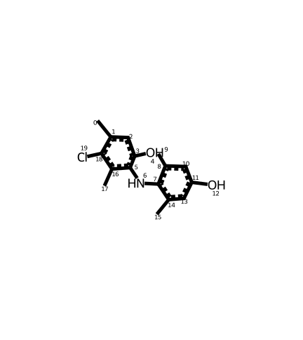 Cc1cc(O)c(Nc2c(C)cc(O)cc2C)c(C)c1Cl